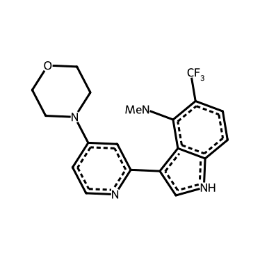 CNc1c(C(F)(F)F)ccc2[nH]cc(-c3cc(N4CCOCC4)ccn3)c12